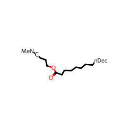 CCCCCCCCCCCCCCCCCC(=O)OCCCCNC